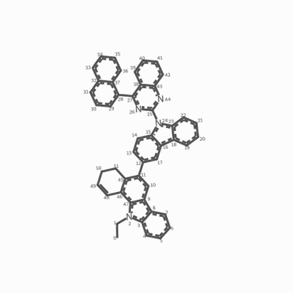 CCn1c2ccccc2c2cc(-c3ccc4c(c3)c3ccccc3n4-c3nc(-c4cccc5ccccc45)c4ccccc4n3)c3c(c21)C=CCC3